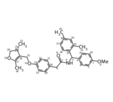 COc1ccc(C(NC(=O)Cc2ccc(OCC3=C(C)OCN3C)cc2)c2ccc(C)cc2C)cc1